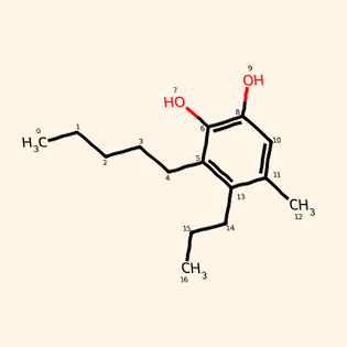 CCCCCc1c(O)c(O)cc(C)c1CCC